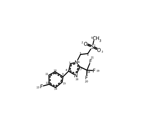 CS(=O)(=O)CCn1cc(-c2ccc(F)cc2)nc1C(F)(F)F